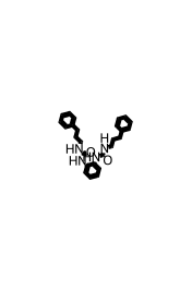 O=C(NCCCc1ccccc1)Nc1ccccc1NC(=O)NCCCc1ccccc1